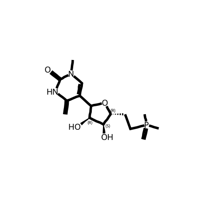 C=C1NC(=O)N(C)C=C1C1O[C@H](CCP(=C)(C)C)[C@@H](O)[C@H]1O